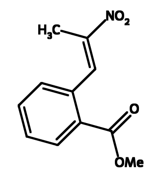 COC(=O)c1ccccc1C=C(C)[N+](=O)[O-]